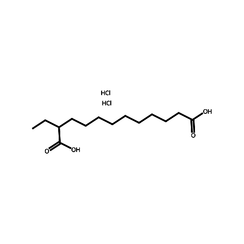 CCC(CCCCCCCCCC(=O)O)C(=O)O.Cl.Cl